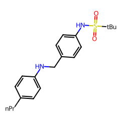 CCCc1ccc(NCc2ccc(NS(=O)(=O)C(C)(C)C)cc2)cc1